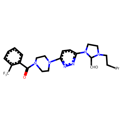 CC(C)CCN1CCN(c2ccc(N3CCN(C(=O)c4ccccc4C(F)(F)F)CC3)nn2)C1C=O